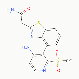 CCCS(=O)(=O)c1nccc(N)c1-c1cccc2sc(CC(N)=O)nc12